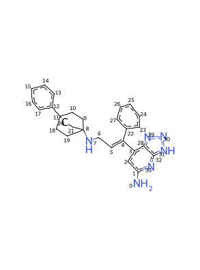 Nc1cc(C(=CCNC23CCC(c4ccccc4)(CC2)CC3)c2ccccc2)c2nn[nH]c2n1